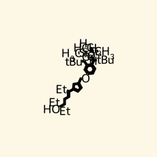 CCC(=CCCC(O)(CC)CC)C1=CC=C(COc2ccc(C(O[SiH](C)C)C(C)(C)C)c(C(O[SiH](C)C)C(C)(C)C)c2)C1